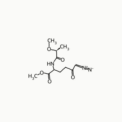 COC(=O)C(CCC(=O)C=[N+]=[N-])NC(=O)[C@H](C)OC